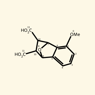 COc1cccc2c1C1OC2C(C(=O)O)C1C(=O)O